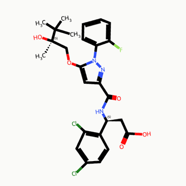 CC(C)(C)[C@](C)(O)COc1cc(C(=O)N[C@@H](CC(=O)O)c2ccc(Cl)cc2Cl)nn1-c1ccccc1F